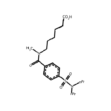 CCCN(CCC)S(=O)(=O)c1ccc(C(=O)N(C)CCCCCC(=O)O)cc1